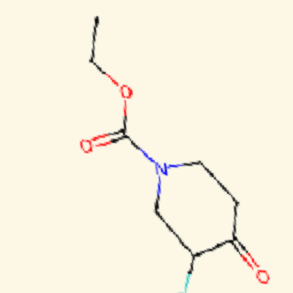 CCOC(=O)N1CCC(=O)C(F)C1